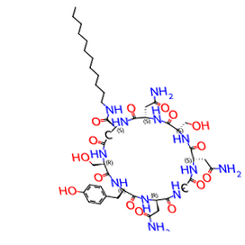 CCCCCCCCCCCCNC(=O)[C@@H]1CC(=O)N[C@H](CO)C(=O)N[C@H](Cc2ccc(O)cc2)C(=O)N[C@H](CC(N)=O)C(=O)NCC(=O)N[C@@H](CC(N)=O)C(=O)N[C@@H](CO)C(=O)N[C@@H](CC(N)=O)C(=O)N1